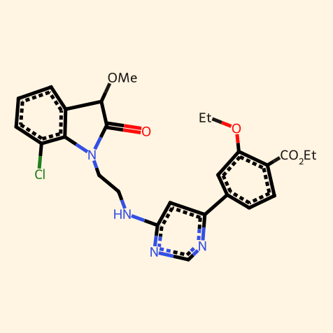 CCOC(=O)c1ccc(-c2cc(NCCN3C(=O)C(OC)c4cccc(Cl)c43)ncn2)cc1OCC